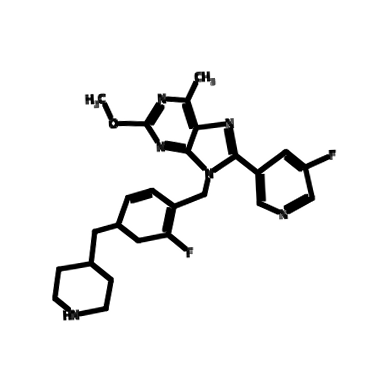 COc1nc(C)c2nc(-c3cncc(F)c3)n(CC3=C(F)CC(CC4CCNCC4)C=C3)c2n1